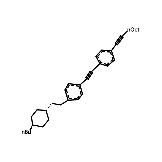 CCCCCCCCC#Cc1ccc(C#Cc2ccc(CC[C@H]3CC[C@H](CCCC)CC3)cc2)cc1